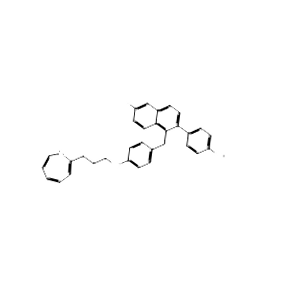 Oc1ccc(-c2ccc3cc(O)ccc3c2Cc2ccc(OCCCC3=CC=CC=CN3)cc2)cc1